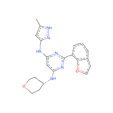 Cc1cc(Nc2cc(NC3CCOCC3)nc(-c3cccc4ccoc34)n2)n[nH]1